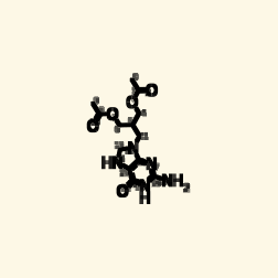 CC(=O)OCC(COC(C)=O)CN1CNc2c1nc(N)[nH]c2=O